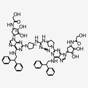 N#CN=C(N[C@@H]1CCN(c2nc(NCC(c3ccccc3)c3ccccc3)c3ncn([C@@H]4C[C@H](NC(=O)CO)[C@@H](O)[C@H]4O)c3n2)C1)N[C@@H]1CCN(c2nc(NCC(c3ccccc3)c3ccccc3)c3ncn([C@@H]4C[C@H](NC(=O)CO)[C@@H](O)[C@H]4O)c3n2)C1